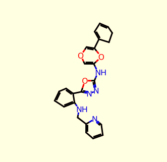 C1=CCCC(C2=COC=C(Nc3nnc(-c4ccccc4NCc4ccccn4)o3)O2)=C1